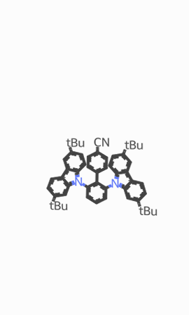 CC(C)(C)c1ccc2c(c1)c1ccc(C(C)(C)C)cc1n2-c1cccc(-n2c3ccc(C(C)(C)C)cc3c3ccc(C(C)(C)C)cc32)c1-c1ccc(C#N)cc1